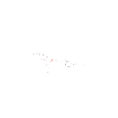 CCCCCCCCCc1ccc(OCCOC(=O)CC(CCCCCCCCC)C(=O)OCCO)cc1